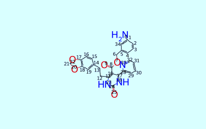 Nc1cccc(COC(=O)C2=C(CCc3ccc4c(c3)OCO4)NC(=O)NC2c2ccccn2)c1